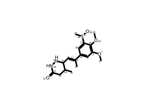 COc1cc(/C(C)=C/C2NNC(=O)CC2C)cc([S+](C)[O-])c1OC